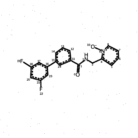 O=C(NCc1cccc[n+]1[O-])c1cccc(-c2cc(F)cc(F)c2)c1